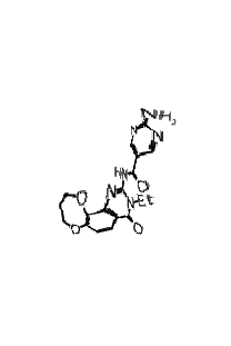 CCn1c(NC(=O)c2cnc(N)nc2)nc2c3c(ccc2c1=O)OCCCO3